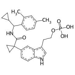 Cc1ccc(C(NC(=O)C2(c3ccc4[nH]cc(CCOP(=O)(O)O)c4c3)CC2)C2CC2)c(C)c1